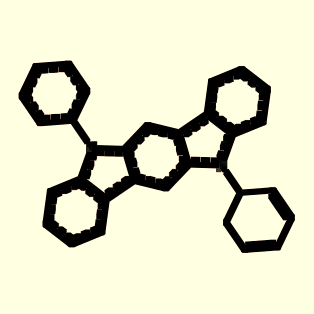 C1=CCC(n2c3ccccc3c3cc4c(cc32)c2ccccc2n4-c2ccccc2)C=C1